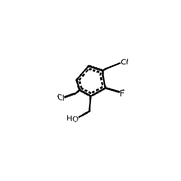 OCc1c(Cl)ccc(Cl)c1F